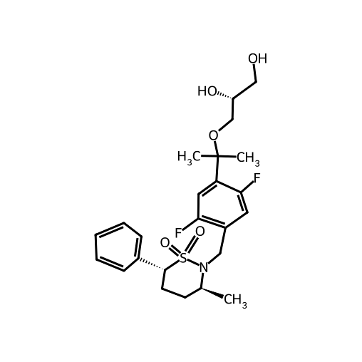 C[C@H]1CC[C@H](c2ccccc2)S(=O)(=O)N1Cc1cc(F)c(C(C)(C)OC[C@H](O)CO)cc1F